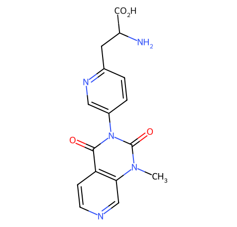 Cn1c(=O)n(-c2ccc(CC(N)C(=O)O)nc2)c(=O)c2ccncc21